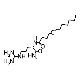 CCCCCCCCCCCC(=O)N[C@@H](CCCNC(N)N)C(=O)NC